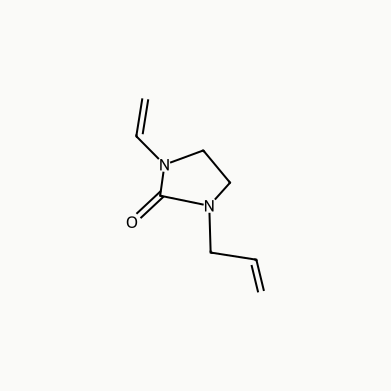 C=CCN1CCN(C=C)C1=O